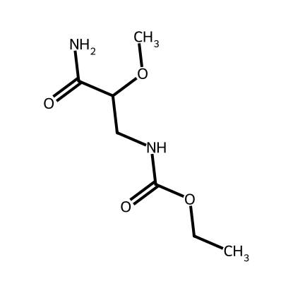 CCOC(=O)NCC(OC)C(N)=O